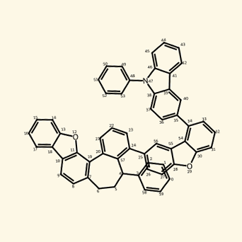 c1ccc(C2CCc3ccc4c(oc5ccccc54)c3-c3cccc(-c4ccc5oc6cccc(-c7ccc8c(c7)c7ccccc7n8-c7ccccc7)c6c5c4)c32)cc1